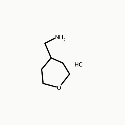 Cl.NCC1CCOCC1